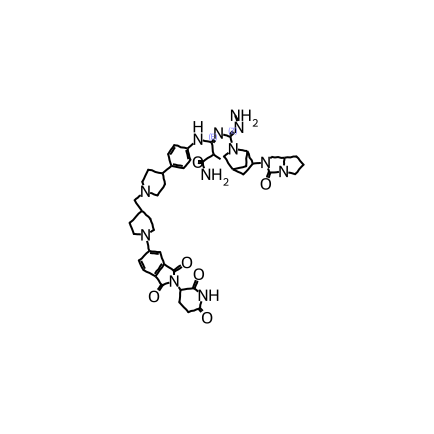 CC(C(N)=O)/C(=N\C(=N/N)N1CC2CC(N3CC4CCCN4C3=O)C1C2)Nc1ccc(C2CCN(CC3CCN(c4ccc5c(c4)C(=O)N(C4CCC(=O)NC4=O)C5=O)CC3)CC2)cc1